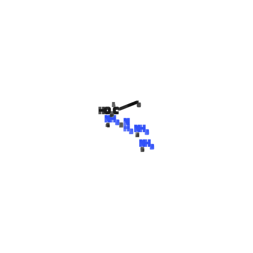 CC(=O)O.N.N.N.N